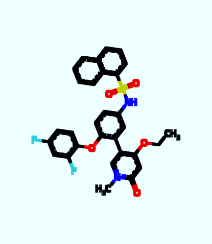 CCOc1cc(=O)n(C)cc1-c1cc(NS(=O)(=O)c2cccc3ccccc23)ccc1Oc1ccc(F)cc1F